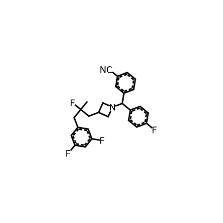 CC(F)(Cc1cc(F)cc(F)c1)CC1CN(C(c2ccc(F)cc2)c2cccc(C#N)c2)C1